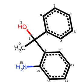 CC(O)(c1ccccc1)c1ccccc1N